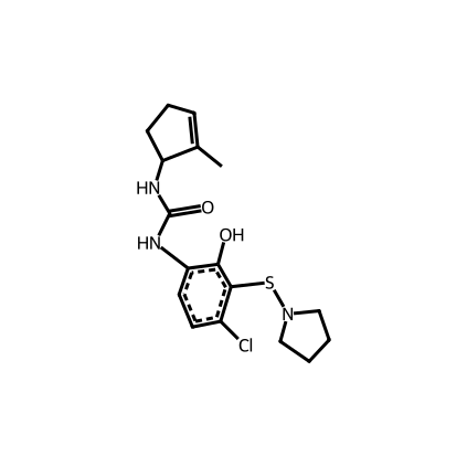 CC1=CCCC1NC(=O)Nc1ccc(Cl)c(SN2CCCC2)c1O